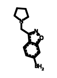 Bc1ccc2c(CN3CCCC3)noc2c1